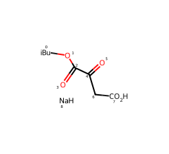 CCC(C)OC(=O)C(=O)CC(=O)O.[NaH]